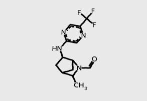 CC1C2CC(Nc3cnc(C(F)(F)F)cn3)C(C2)N1C=O